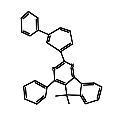 CC1(C)c2ccccc2-c2nc(-c3cccc(-c4ccccc4)c3)nc(-c3ccccc3)c21